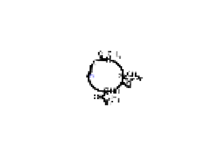 CC(C)N[C@@]1(C)CCCN(C)C(=O)OC/C=C/CCC[C@@](C)(C(=O)C(C)C)NCC1=O